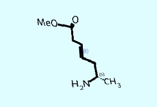 COC(=O)C/C=C/C[C@H](C)N